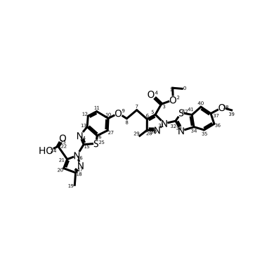 CCOC(=O)c1c(CCOc2ccc3nc(-n4nc(C)cc4C(=O)O)sc3c2)c(C)nn1-c1nc2ccc(OC)cc2s1